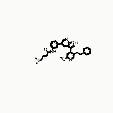 COc1cc(-c2c[nH]c3ncc(-c4cccc(NC(=O)/C=C/CN(C)C)c4)cc23)c(CCc2ccccc2)cn1